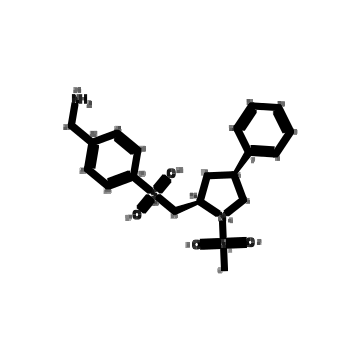 CS(=O)(=O)N1C[C@H](c2ccccc2)C[C@@H]1CS(=O)(=O)c1ccc(CN)cc1